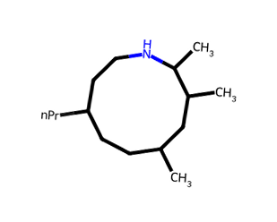 CCCC1CCNC(C)C(C)CC(C)CC1